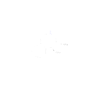 CO[C@H]1CNCCC2=C(CCCCC2)[C@@H]1OC